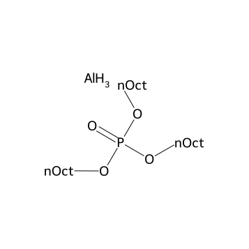 CCCCCCCCOP(=O)(OCCCCCCCC)OCCCCCCCC.[AlH3]